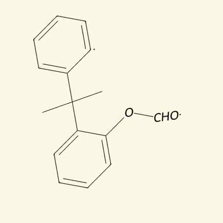 CC(C)(c1[c]cccc1)c1ccccc1O[C]=O